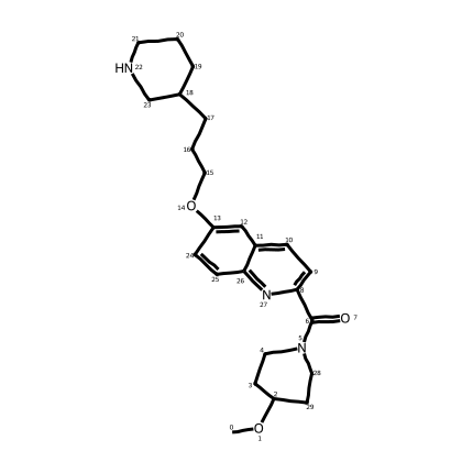 COC1CCN(C(=O)c2ccc3cc(OCCCC4CCCNC4)ccc3n2)CC1